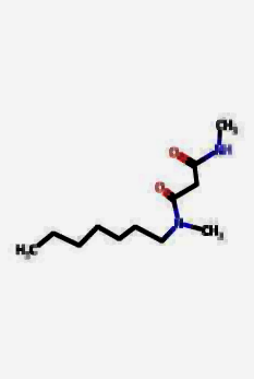 CCCCCCCN(C)C(=O)CC(=O)NC